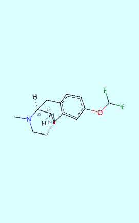 CN1CC[C@@]23CCCC[C@@H]2[C@@H]1Cc1ccc(OC(F)F)cc13